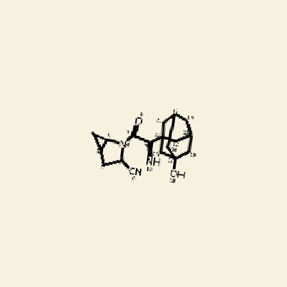 N#CC1CC2CC2N1C(=O)C(=N)C12CC3CC(CC(O)(C3)C1)C2